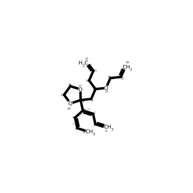 C=C/C=C(\C=C/C)C1(CC(CC=C)OCC=C)OCCO1